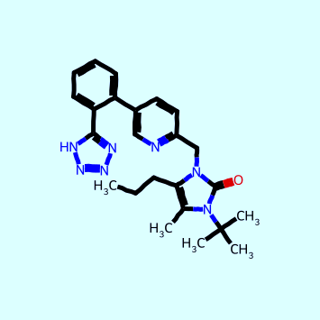 CCCc1c(C)n(C(C)(C)C)c(=O)n1Cc1ccc(-c2ccccc2-c2nnn[nH]2)cn1